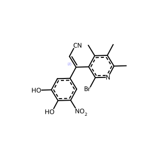 Cc1nc(Br)c(/C(=C\C#N)c2cc(O)c(O)c([N+](=O)[O-])c2)c(C)c1C